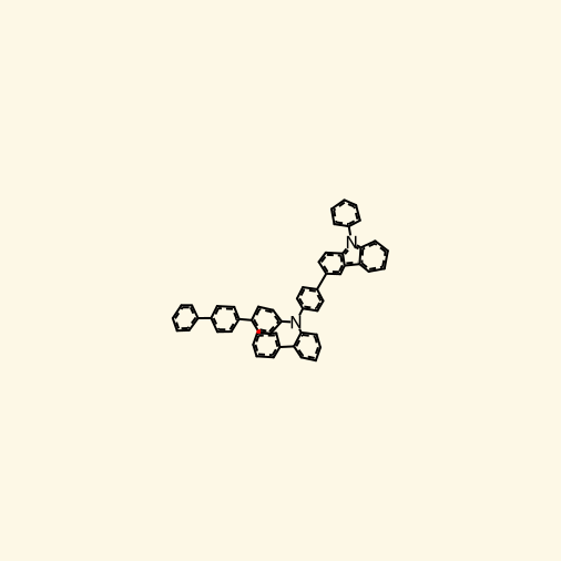 c1ccc(-c2ccc(-c3ccc(N(c4ccc(-c5ccc6c(c5)c5ccccc5n6-c5ccccc5)cc4)c4ccccc4-c4ccccc4)cc3)cc2)cc1